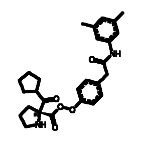 Cc1cc(C)cc(NC(=O)Cc2ccc(OOC(=O)[C@]3(C(=O)C4CCCC4)CCCN3)cc2)c1